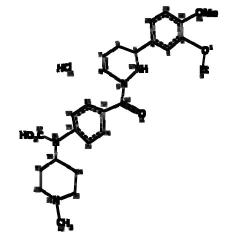 CCOc1cc(C2CC=CN(C(=O)c3ccc(N(C(=O)O)C4CCN(C)CC4)cc3)N2)ccc1OC.Cl